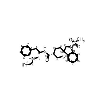 CC(C)CNC[C@H](Cc1ccccc1)NC(=O)[C@H]1CC[C@]2(CC1)CN(S(C)(=O)=O)c1ccccc12